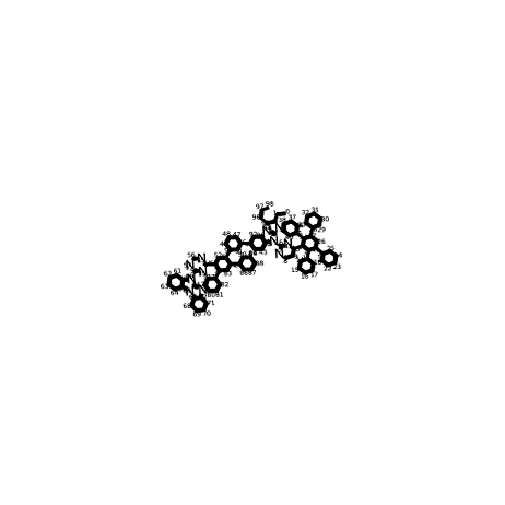 C=Cc1nc2n(-c3nccc(-c4c(-c5ccccc5)c(-c5ccccc5)cc(-c5ccccc5)c4-c4ccccc4)n3)c3ccc(-c4cccc(-c5cc(-c6ncnc(-n7c8ccccc8n8c9ccccc9nc78)n6)c(-c6ccccc6)cc5-c5ccccc5)c4)cc3n2c1/C=C\C